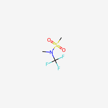 CN(C(F)(F)F)S(C)(=O)=O